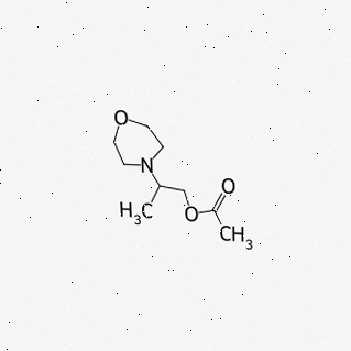 CC(=O)OCC(C)N1CCOCC1